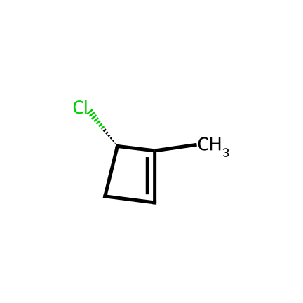 CC1=CC[C@@H]1Cl